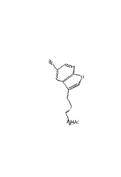 CC(=O)NCCCc1coc2ccc(Br)cc12